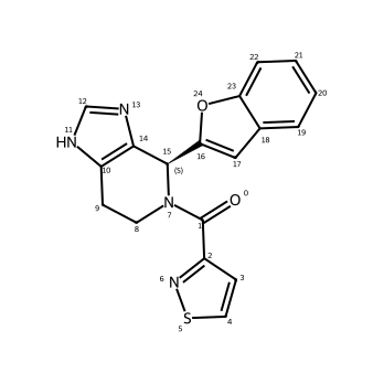 O=C(c1ccsn1)N1CCc2[nH]cnc2[C@H]1c1cc2ccccc2o1